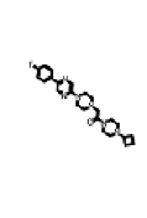 O=C(CN1CCN(c2cnc(-c3ccc(F)cc3)cn2)CC1)N1CCN(C2CCC2)CC1